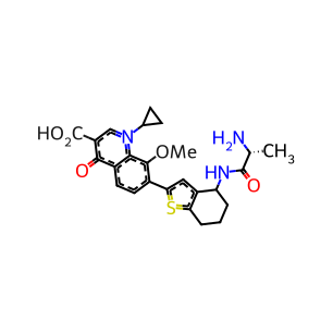 COc1c(-c2cc3c(s2)CCCC3NC(=O)[C@@H](C)N)ccc2c(=O)c(C(=O)O)cn(C3CC3)c12